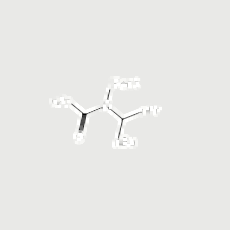 CCCCC(CCC)N(C(=O)CCC)C(C)CCC